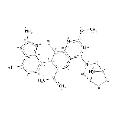 C=C(C)c1cc2c(N3CC4CCC(C3)N4)nc(OC)nc2c(F)c1-c1ccc(F)c2sc(N)nc12